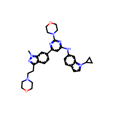 Cn1nc(CCN2CCOCC2)c2ccc(-c3cc(Nc4ccc5ccn(C6CC6)c5c4)nc(N4CCOCC4)n3)cc21